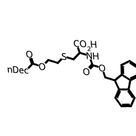 CCCCCCCCCCC(=O)OCCSCC(NC(=O)OCC1c2ccccc2-c2ccccc21)C(=O)O